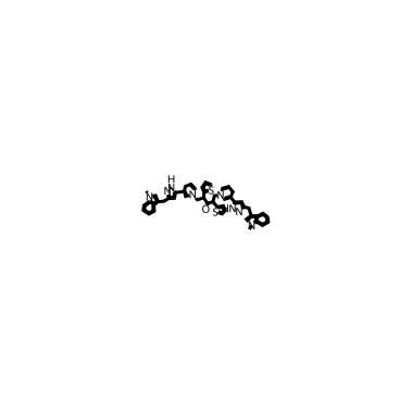 Cn1cc(Cc2cc(C3=CN(CC(C(=O)C(CN4C=CCC(c5cc(Cc6cn(C)c7ccccc67)n[nH]5)=C4)c4cccs4)c4cccs4)C=CC3)[nH]n2)c2ccccc21